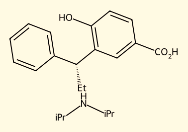 CC(C)NC(C)C.CC[C@H](c1ccccc1)c1cc(C(=O)O)ccc1O